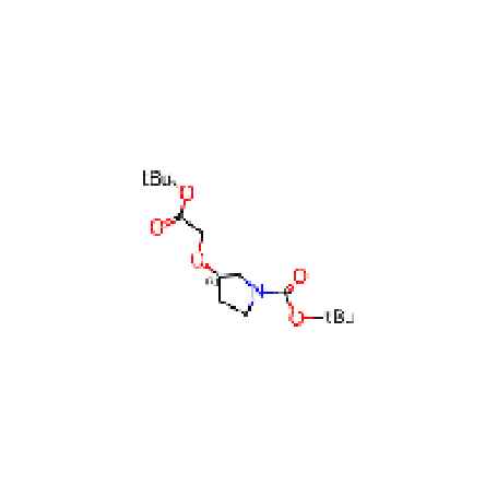 CC(C)(C)OC(=O)CO[C@@H]1CCN(C(=O)OC(C)(C)C)C1